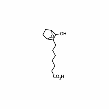 O=C(O)CCCCCCC1C2CCC(O2)C1O